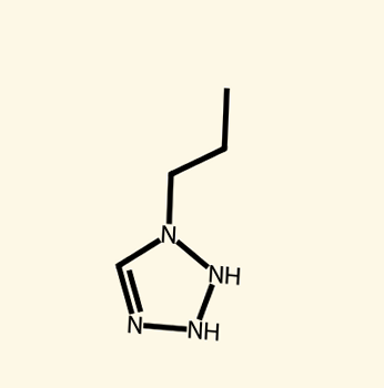 CCCN1C=NNN1